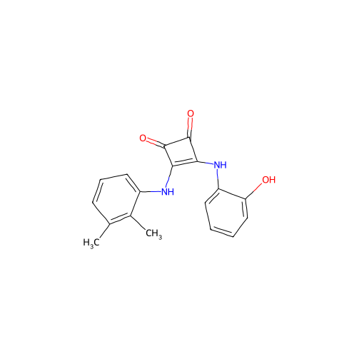 Cc1cccc(Nc2c(Nc3ccccc3O)c(=O)c2=O)c1C